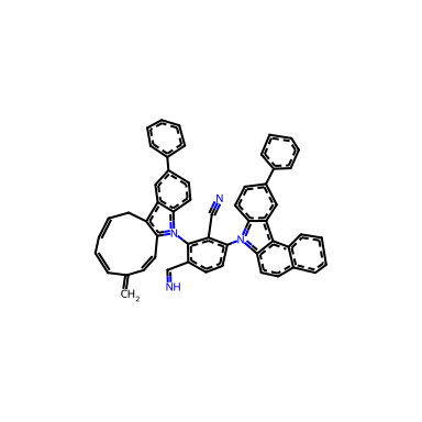 C=C1/C=C\C=C/Cc2c(n(-c3c(C=N)ccc(-n4c5ccc(-c6ccccc6)cc5c5c6ccccc6ccc54)c3C#N)c3ccc(-c4ccccc4)cc23)/C=C\1